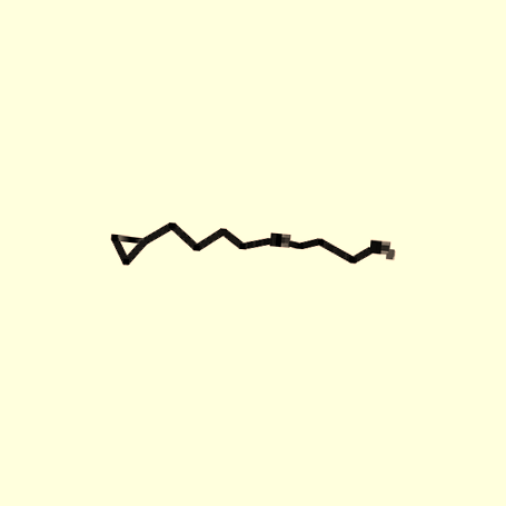 NCCCNCCCCC1CC1